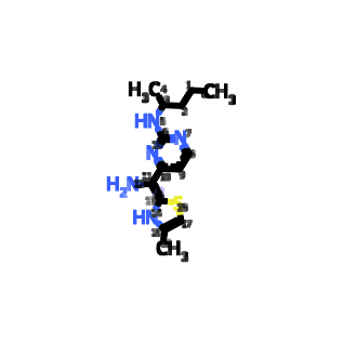 CCCC(C)Nc1nccc(/C(N)=C2/NC(C)=CS2)n1